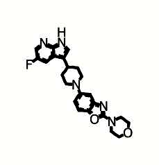 Fc1cnc2[nH]cc(C3CCN(c4ccc5oc(N6CCOCC6)nc5c4)CC3)c2c1